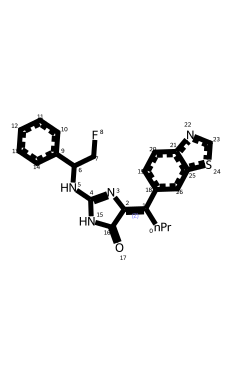 CCC/C(=C1/N=C(NC(CF)c2ccccc2)NC1=O)c1ccc2ncsc2c1